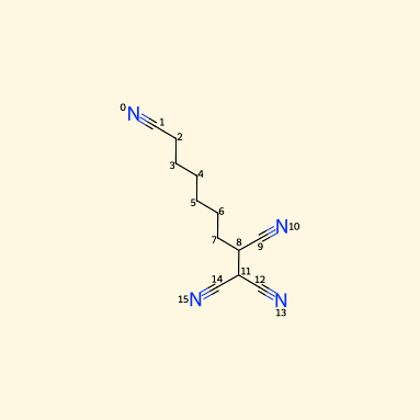 N#CCCCCCCC(C#N)C(C#N)C#N